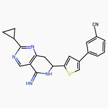 N#Cc1cccc(-c2csc(C3Cc4nc(C5CC5)ncc4C(=N)N3)c2)c1